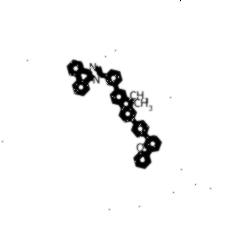 CC1(C)c2cc(-c3ccc(-c4cccc5c4oc4ccccc45)cc3)ccc2-c2ccc(-c3cccc(-c4cnc5c6ccccc6c6ccccc6c5n4)c3)cc21